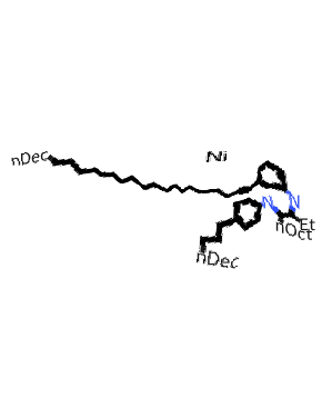 CCCCCCCCCCCCCCCCCCCCCCCCCCCC#Cc1cccc(N=C(CC)C(CCCCCCCC)=Nc2ccc(CCCCCCCCCCCCC)cc2)c1.[Ni]